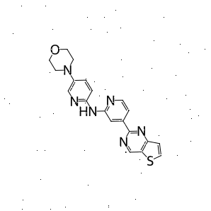 [c]1nc(-c2ccnc(Nc3ccc(N4CCOCC4)cn3)c2)nc2ccsc12